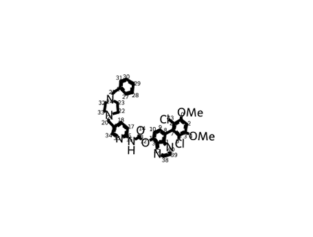 COc1cc(OC)c(Cl)c(-c2ccc(OC(=O)Nc3ccc(CN4CCN(Cc5ccccc5)CC4)cn3)c3nccnc23)c1Cl